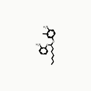 CCCCCCC(Oc1ccc(N)c(C)c1)Oc1ccccc1N